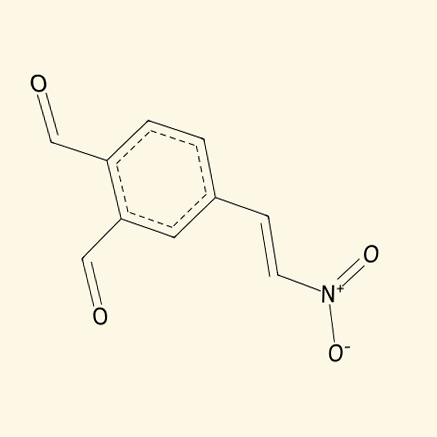 O=Cc1ccc(C=C[N+](=O)[O-])cc1C=O